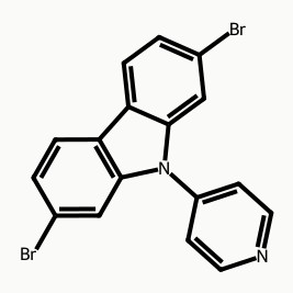 Brc1ccc2c3ccc(Br)cc3n(-c3ccncc3)c2c1